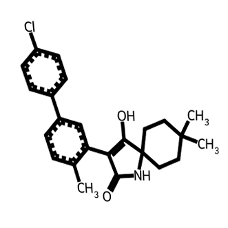 Cc1ccc(-c2ccc(Cl)cc2)cc1C1=C(O)C2(CCC(C)(C)CC2)NC1=O